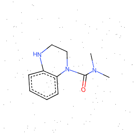 CN(C)C(=O)N1CCNc2ccccc21